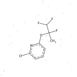 CC(F)(Oc1cccc(Cl)n1)C(F)F